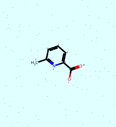 Cc1cccc(C([O])=O)n1